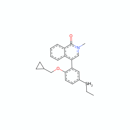 CC[SiH2]c1ccc(OCC2CC2)c(-c2cn(C)c(=O)c3ccccc23)c1